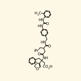 Cc1ccccc1NC(=O)Nc1ccc(CNC(=O)C(CC(=O)NC(CC(=O)O)(Cc2ccccc2)C2=COCO2)CC(C)C)cc1